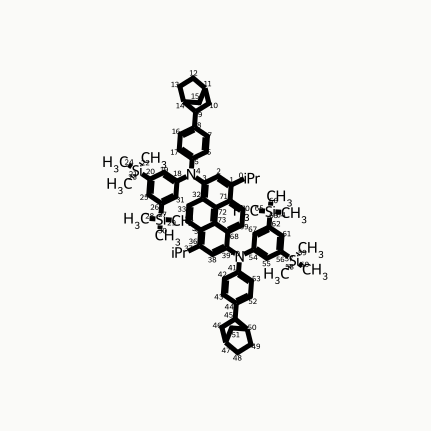 CC(C)c1cc(N(c2ccc(C3CC4CCC3C4)cc2)c2cc([Si](C)(C)C)cc([Si](C)(C)C)c2)c2ccc3c(C(C)C)cc(N(c4ccc(C5CC6CCC5C6)cc4)c4cc([Si](C)(C)C)cc([Si](C)(C)C)c4)c4ccc1c2c34